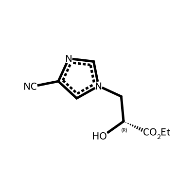 CCOC(=O)[C@H](O)Cn1cnc(C#N)c1